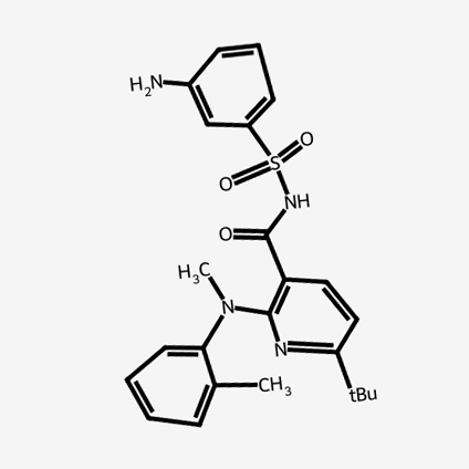 Cc1ccccc1N(C)c1nc(C(C)(C)C)ccc1C(=O)NS(=O)(=O)c1cccc(N)c1